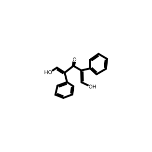 O=C(/C(=C/O)c1ccccc1)/C(=C/O)c1ccccc1